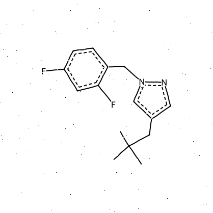 CC(C)(C)Cc1cnn(Cc2ccc(F)cc2F)c1